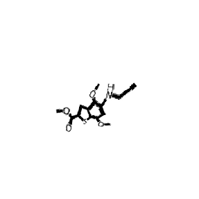 C#CCNc1cc(OC)c2sc(C(=O)OC)cc2c1OC